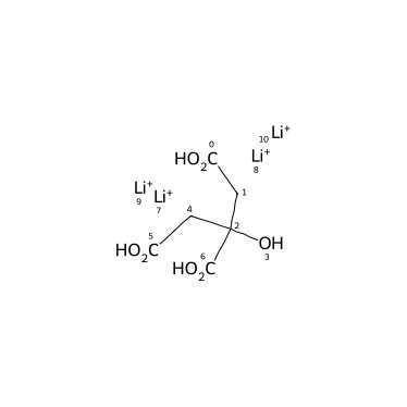 O=C(O)CC(O)(CC(=O)O)C(=O)O.[Li+].[Li+].[Li+].[Li+]